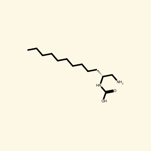 CCCCCCCCCC[C@H](CN)NC(=O)O